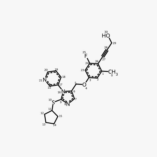 Cc1cc(OCc2cnc(SC3CCCC3)n2-c2cccnc2)cc(F)c1C#CCO